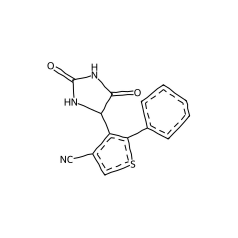 N#Cc1csc(-c2ccccc2)c1C1NC(=O)NC1=O